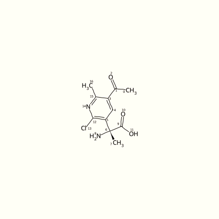 CC(=O)c1cc([C@@](C)(N)C(=O)O)c(Cl)nc1C